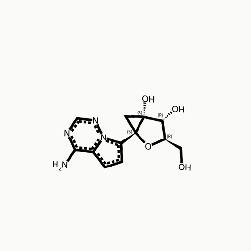 Nc1ncnn2c([C@@]34C[C@@]3(O)[C@H](O)[C@@H](CO)O4)ccc12